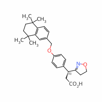 CC1(C)CCC(C)(C)c2cc(COc3ccc([C@H](CC(=O)O)C4=NOCC4)cc3)ccc21